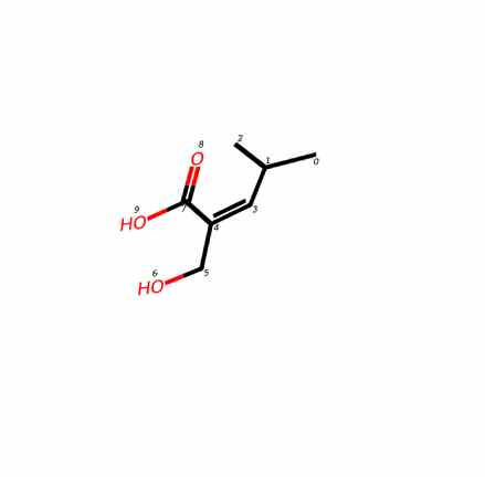 CC(C)C=C(CO)C(=O)O